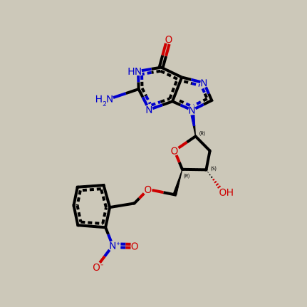 Nc1nc2c(ncn2[C@H]2C[C@H](O)[C@@H](COCc3ccccc3[N+](=O)[O-])O2)c(=O)[nH]1